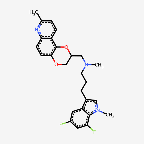 Cc1ccc2c3c(ccc2n1)OCC(CN(C)CCCc1cn(C)c2c(F)cc(F)cc12)O3